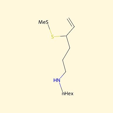 C=CC(CCCNCCCCCC)SSC